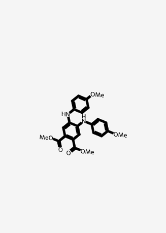 COC(=O)c1cc(Nc2ccc(OC)cc2)c(Nc2ccc(OC)cc2)cc1C(=O)OC